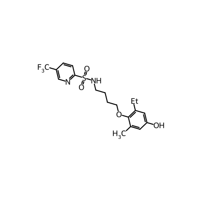 CCc1cc(O)cc(C)c1OCCCCNS(=O)(=O)c1ccc(C(F)(F)F)cn1